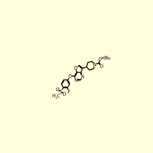 CC(C)(C)OC(=O)N1CCC(c2coc3c(Oc4ccc(S(C)(=O)=O)c(F)c4)ncnc23)CC1